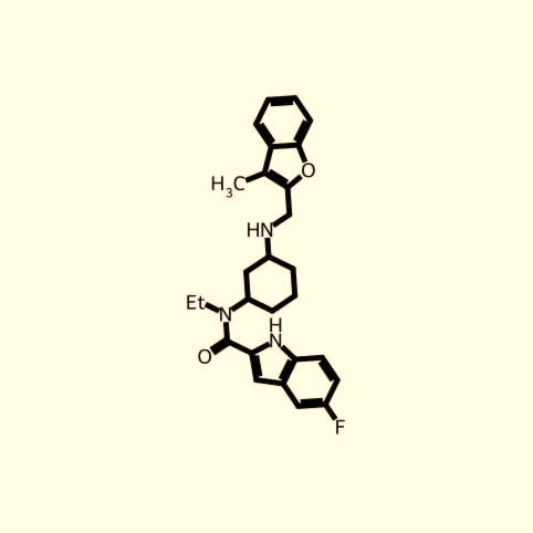 CCN(C(=O)c1cc2cc(F)ccc2[nH]1)C1CCCC(NCc2oc3ccccc3c2C)C1